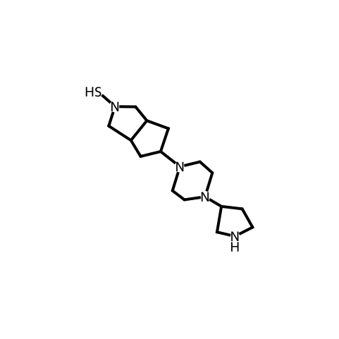 SN1CC2CC(N3CCN(C4CCNC4)CC3)CC2C1